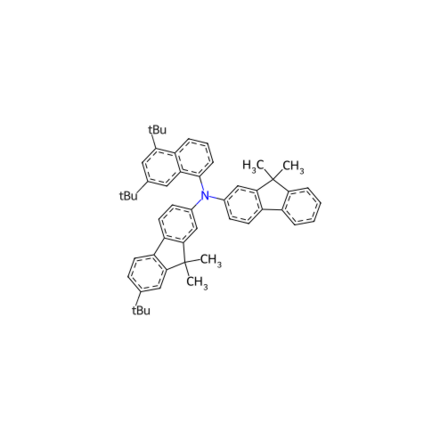 CC(C)(C)c1ccc2c(c1)C(C)(C)c1cc(N(c3ccc4c(c3)C(C)(C)c3ccccc3-4)c3cccc4c(C(C)(C)C)cc(C(C)(C)C)cc34)ccc1-2